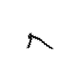 CCCCCCCCCCCCCCCCCCc1n(C)cc[n+]1CCCCCCCC